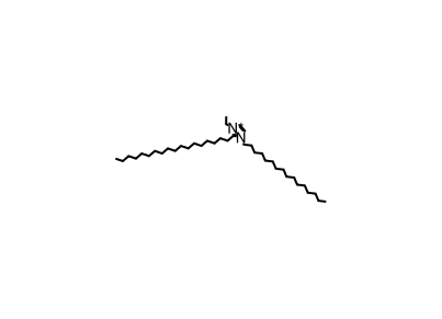 CCCCCCCCCCCCCCCCCCc1n(CCCCCCCCCCCCCCCC)cc[n+]1CC